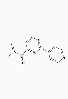 CC(=O)[NH+]([O-])c1ccnc(-c2ccncc2)n1